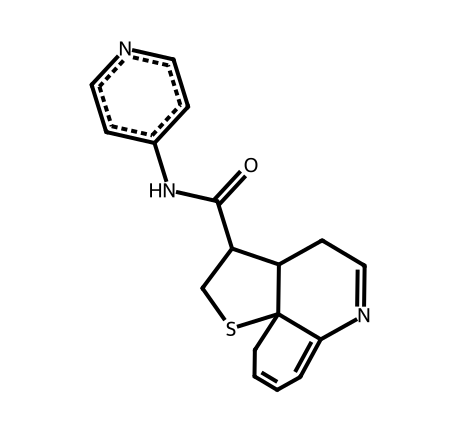 O=C(Nc1ccncc1)C1CSC23CC=CC=C2N=CCC13